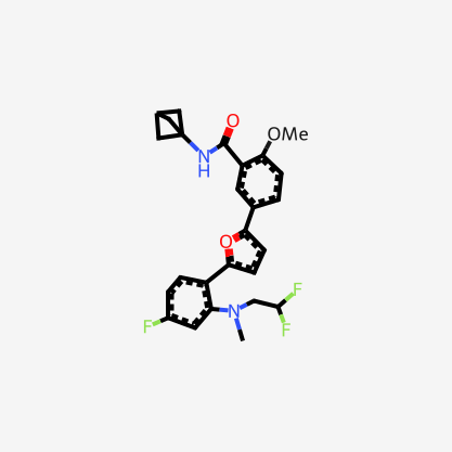 COc1ccc(-c2ccc(-c3ccc(F)cc3N(C)CC(F)F)o2)cc1C(=O)NC12CC(C1)C2